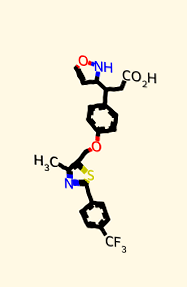 Cc1nc(-c2ccc(C(F)(F)F)cc2)sc1COc1ccc(C(CC(=O)O)C2C=CON2)cc1